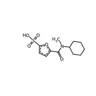 CN(C(=O)c1ccc(S(=O)(=O)O)o1)C1CCCCC1